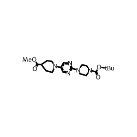 COC(=O)C1CCN(c2cnc(N3CCN(C(=O)OC(C)(C)C)CC3)nc2)CC1